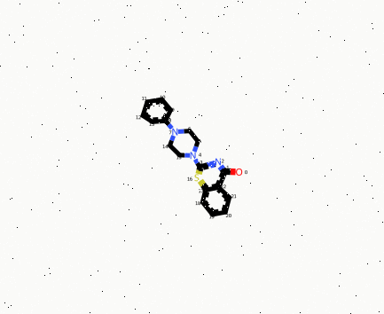 O=c1nc(N2CCN(c3ccccc3)CC2)sc2ccccc12